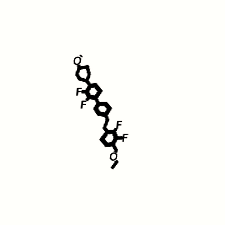 CCOCc1ccc(CCc2ccc(-c3ccc(C4CCC(OC)CC4)c(F)c3F)cc2)c(F)c1F